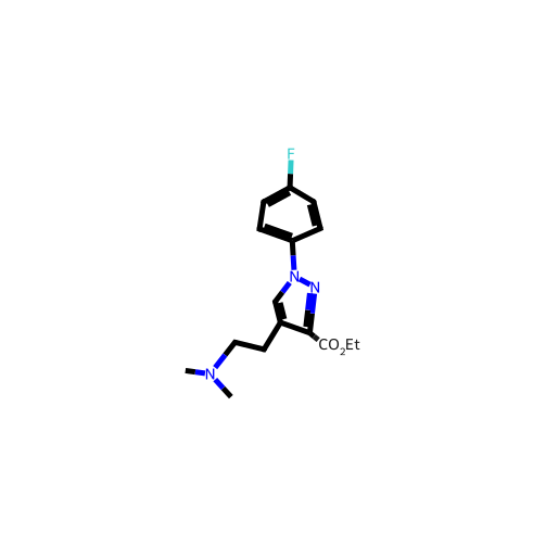 CCOC(=O)c1nn(-c2ccc(F)cc2)cc1CCN(C)C